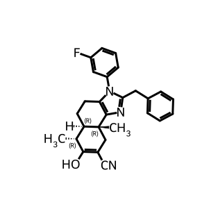 C[C@H]1C(O)=C(C#N)C[C@@]2(C)c3nc(Cc4ccccc4)n(-c4cccc(F)c4)c3CC[C@H]12